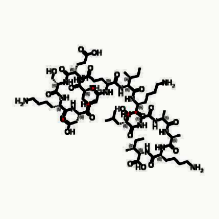 CC[C@H](C)[C@H](NC(=O)[C@H](CCCCN)NC(=O)[C@H](C)NC(=O)[C@H](C)NC(=O)[C@H](CC(=O)O)NC(=O)[C@H](CC(C)C)NC(=O)[C@H](CCCCN)NC(=O)[C@@H](NC(=O)[C@H](CCC(=O)O)NC(=O)CNC(=O)[C@H](CC(=O)O)NC(=O)[C@H](CCCCN)NC(=O)[C@H](CO)NC(=O)[C@H](CCC(=O)O)NC(=O)[C@@H](N)CC(C)C)[C@@H](C)CC)C(=O)O